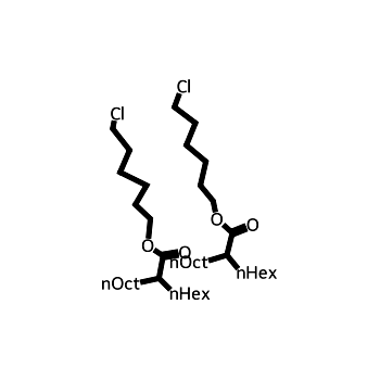 CCCCCCCCC(CCCCCC)C(=O)OCCCCCCCl.CCCCCCCCC(CCCCCC)C(=O)OCCCCCCCl